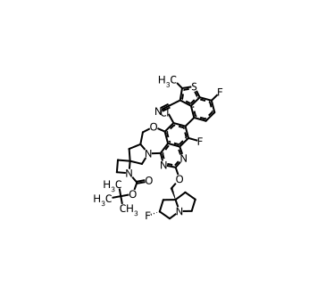 Cc1sc2c(F)ccc(-c3c(Cl)c4c5c(nc(OC[C@@]67CCCN6C[C@H](F)C7)nc5c3F)N3CC5(CCN5C(=O)OC(C)(C)C)CC3CO4)c2c1C#N